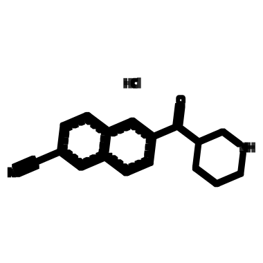 Cl.N#Cc1ccc2cc(C(=O)C3CCCNC3)ccc2c1